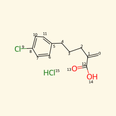 C=C(CCCc1ccc(Cl)cc1)C(=O)O.Cl